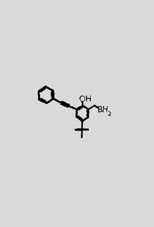 BCc1cc(C(C)(C)C)cc(C#Cc2ccccc2)c1O